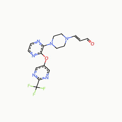 O=CC=CN1CCN(c2nccnc2Oc2cnc(C(F)(F)F)nc2)CC1